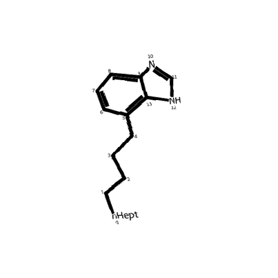 CCCCCCCCCCCc1cccc2nc[nH]c12